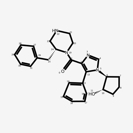 O=C(c1ncn([C@H]2CCC[C@@H]2O)c1-c1ccccc1)N1CCNC[C@H]1Cc1ccccc1